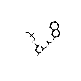 Cc1cc(NCC(F)(F)CO)nc(NC(=O)Nc2ccc3ccccc3c2)n1